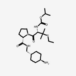 CCSC(C)(C)[C@@H](NC(=O)OC(C)C)C(=O)N1CCC[C@H]1C(=O)NC[C@H]1CC[C@H](N)CC1